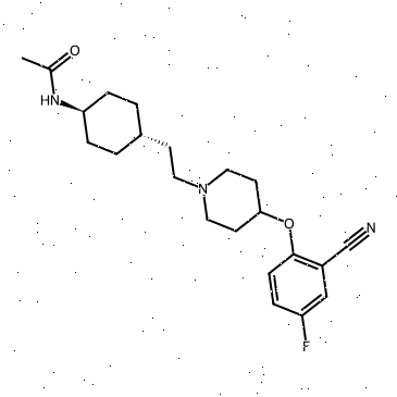 CC(=O)N[C@H]1CC[C@H](CCN2CCC(Oc3ccc(F)cc3C#N)CC2)CC1